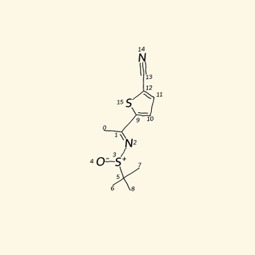 CC(=N[S+]([O-])C(C)(C)C)c1ccc(C#N)s1